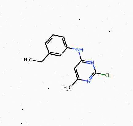 CCc1cccc(Nc2cc(C)nc(Cl)n2)c1